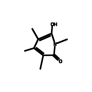 Cc1c(C)c(O)n(C)c(=O)c1C